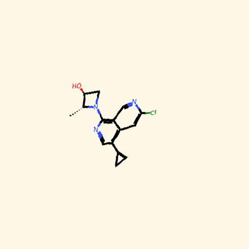 C[C@@H]1[C@@H](O)CN1c1ncc(C2CC2)c2cc(Cl)ncc12